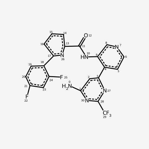 Nc1cc(-c2ccncc2NC(=O)c2cccc(-c3ccc(F)cc3F)n2)nc(C(F)(F)F)n1